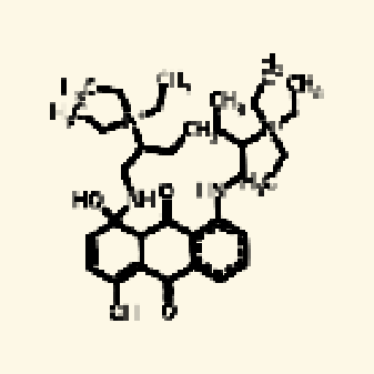 CCC(CNc1cccc2c1C(=O)C1C(=C(O)C=CC1(O)NCC(CC)[N+](CC)(CC)CC)C2=O)[N+](CC)(CC)CC